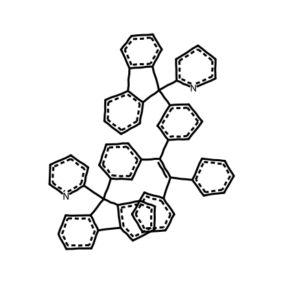 c1ccc(C(=C(c2cccc(C3(c4ccccn4)c4ccccc4-c4ccccc43)c2)c2cccc(C3(c4ccccn4)c4ccccc4-c4ccccc43)c2)c2ccccc2)cc1